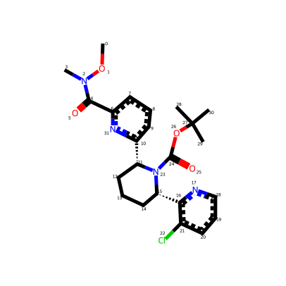 CON(C)C(=O)c1cccc([C@H]2CCC[C@@H](c3ncccc3Cl)N2C(=O)OC(C)(C)C)n1